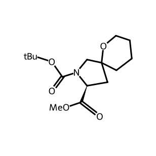 COC(=O)[C@@H]1CC2(CCCCO2)CN1C(=O)OC(C)(C)C